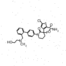 CN(CCO)Cc1ccccc1-c1ccc(N2CCCC(F)(c3cc(Cl)sc3S(N)(=O)=O)C2=O)cc1